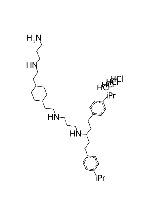 CC(C)c1ccc(CCC(CCc2ccc(C(C)C)cc2)NCCCNCCC2CCC(CCNCCCN)CC2)cc1.Cl.Cl.Cl.Cl